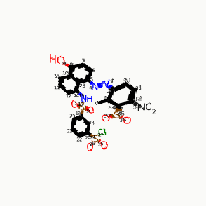 CC1C(N=Nc2ccc(O)c3cccc(NS(=O)(=O)c4cccc(S(=O)(=O)Cl)c4)c23)=CC=C([N+](=O)[O-])C1=S(=O)=O